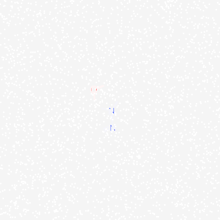 CCc1cc2oc3c(n2n1)CCCC3